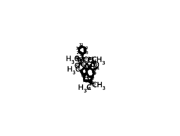 CC1=CC23CCC4C(C(C=C5COC(C)(C)OC5C2(O)C1OC(=O)N(C)C(C)c1ccccc1)C3=O)C4(C)C